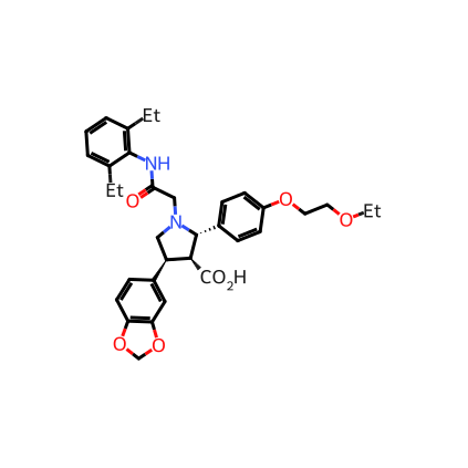 CCOCCOc1ccc([C@@H]2[C@@H](C(=O)O)[C@@H](c3ccc4c(c3)OCO4)CN2CC(=O)Nc2c(CC)cccc2CC)cc1